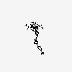 CN(CC(=O)N1CCN(CCCOc2ccc(-c3ccc(C#N)cc3)cc2)CC1)C(=O)OC(C)(C)C